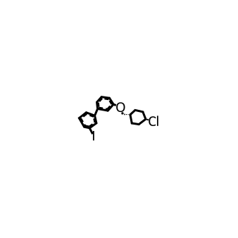 Cl[C@H]1CC[C@H](COc2cccc(-c3cccc(I)c3)c2)CC1